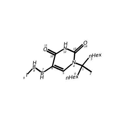 CCCCCCC(C)(CCCCCC)n1cc(BBI)c(=O)[nH]c1=O